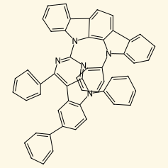 c1ccc(-c2ccc3c(c2)c2c(-c4ccccc4)nc(-n4c5ccccc5c5ccc6c7ccccc7n(-c7ccccc7)c6c54)nc2n3-c2ccccc2)cc1